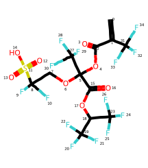 C=C(C(=O)OC(OCC(F)(F)S(=O)(=O)O)(C(=O)OC(C(F)(F)F)C(F)(F)F)C(F)(F)F)C(F)(F)F